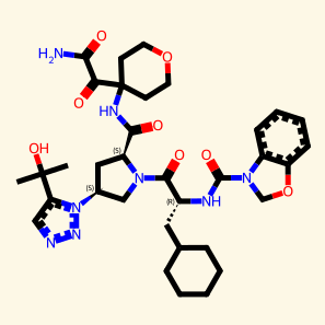 CC(C)(O)c1cnnn1[C@H]1C[C@@H](C(=O)NC2(C(=O)C(N)=O)CCOCC2)N(C(=O)[C@@H](CC2CCCCC2)NC(=O)N2COc3ccccc32)C1